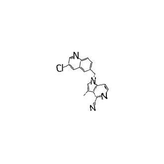 Cc1cn(Cc2ccc3ncc(Cl)cc3c2)c2ccnc(C#N)c12